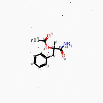 CCCCC(=O)OC(C)(Cc1ccccc1)C(N)=O